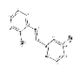 Sc1ccccc1/N=C/c1cccc(Br)c1